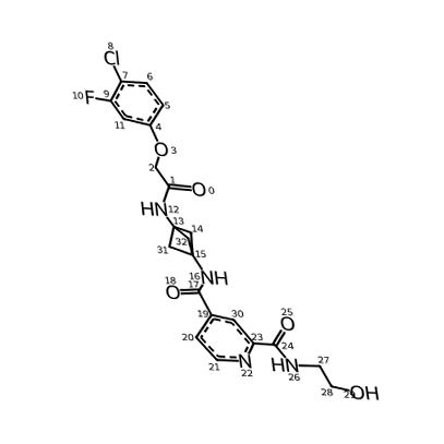 O=C(COc1ccc(Cl)c(F)c1)NC12CC(NC(=O)c3ccnc(C(=O)NCCO)c3)(C1)C2